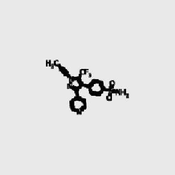 CC#Cn1nc(-c2ccncc2)c(-c2ccc(S(N)(=O)=O)cc2)c1C(F)(F)F